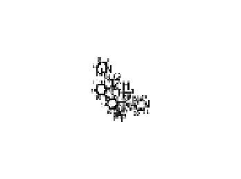 CC1(C)C(=O)N(c2ncccn2)c2cccc(-c3ccc(C(F)(F)F)c(C(=O)Nc4ccncn4)c3)c21